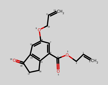 C=CCOC(=O)c1cc(OCC=C)cc2c1CCC2=O